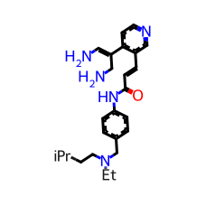 CCN(CCC(C)C)Cc1ccc(NC(=O)/C=C/c2cnccc2/C(=C/N)CN)cc1